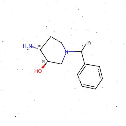 CC(C)C(c1ccccc1)N1CC[C@@H](N)[C@H](O)C1